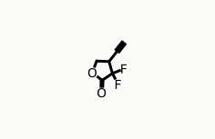 C#CC1COC(=O)C1(F)F